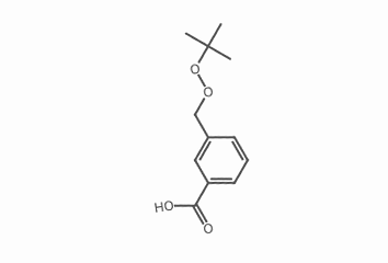 CC(C)(C)OOCc1cccc(C(=O)O)c1